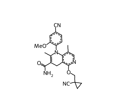 COc1cc(C#N)ccc1N1C(C)=C(C(N)=O)Cc2c(OCC3(C#N)CC3)ncc(C)c21